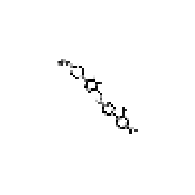 CCCC1CCC(c2ccc(COc3ccc(-c4ccc(CC)cc4F)cc3)c(F)c2F)CC1